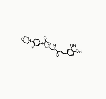 O=C(C=Cc1ccc(O)c(O)c1)NC[C@H]1CN(c2ccc(N3CCOCC3)c(F)c2)C(=O)O1